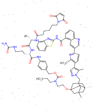 Cc1c(-c2ccc(-c3cnc4cccc(C(=O)Nc5nc6ccccc6s5)c4c3)nc2C(=O)O)cnn1CC12CC3(C)CC(OCCN(CCS(=O)(=O)O)C(=O)OCc4ccc(NC(=O)[C@H](CCCNC(N)=O)NC(=O)[C@@H](NC(=O)CCCCCN5C(=O)C=CC5=O)C(C)C)cc4)(C1)C[C@](C)(C3)C2